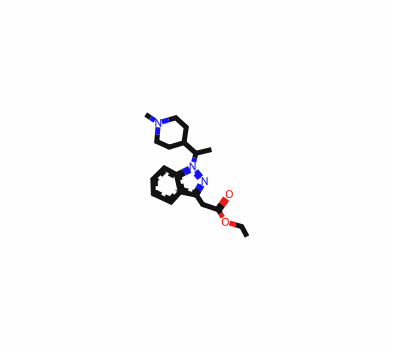 CCOC(=O)Cc1nn(C(C)C2CCN(C)CC2)c2ccccc12